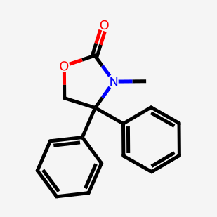 CN1C(=O)OCC1(c1ccccc1)c1ccccc1